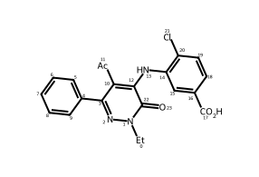 CCn1nc(-c2ccccc2)c(C(C)=O)c(Nc2cc(C(=O)O)ccc2Cl)c1=O